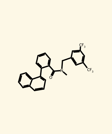 CN(Cc1cc(C(F)(F)F)cc(C(F)(F)F)c1)C(=O)c1ccccc1-c1cccc2ccccc12